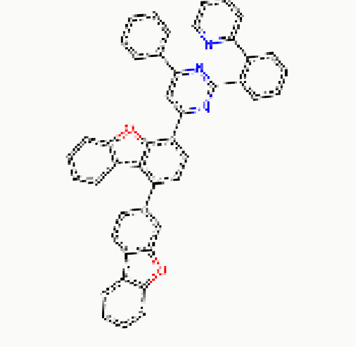 c1ccc(-c2cc(-c3ccc(-c4ccc5c(c4)oc4ccccc45)c4c3oc3ccccc34)nc(-c3ccccc3-c3ccccn3)n2)cc1